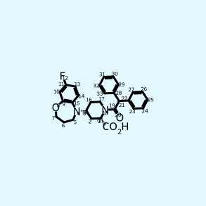 O=C(O)[C@@H]1C[C@H](N2CCCOc3cc(F)ccc32)CCN1C(=O)C(c1ccccc1)c1ccccc1